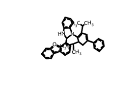 CC(C)C1=C(N2c3ccccc3NC2c2cccc3c2oc2ccccc23)C(C(C)C)CC(c2ccccc2)=C1